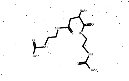 CNC(CC(=O)NCCNC(=O)OC)C(=O)NCCNC(=O)OC